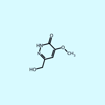 COc1cc(CO)n[nH]c1=O